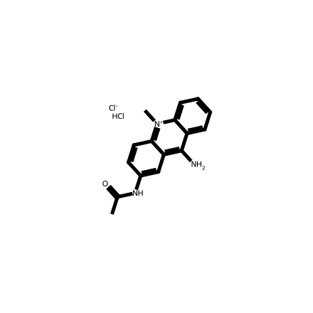 CC(=O)Nc1ccc2c(c1)c(N)c1ccccc1[n+]2C.Cl.[Cl-]